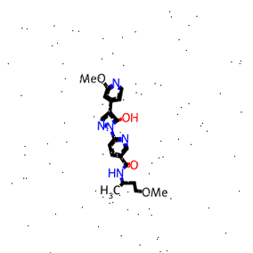 COCCC(C)NC(=O)c1ccc(-n2ncc(-c3ccnc(OC)c3)c2O)nc1